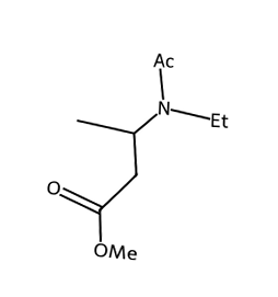 CCN(C(C)=O)C(C)CC(=O)OC